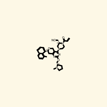 C=CC(=O)N1CCN(c2nc(OC[C@@H]3CCCN3C)nc3c2CO[C@H](c2cccc4cccc(C)c24)C3)C[C@@H]1CC#N